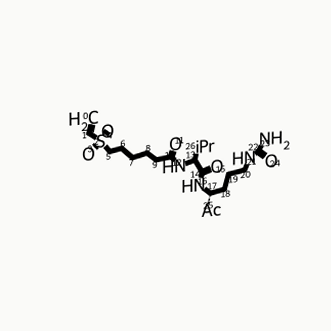 C=CS(=O)(=O)CCCCCC(=O)NC(C(=O)N[C@H](CCCNC(N)=O)C(C)=O)C(C)C